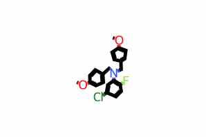 COc1ccc(CN(Cc2ccc(OC)cc2)c2cc(Cl)ccc2F)cc1